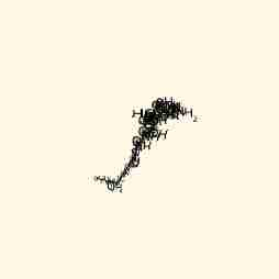 CCCCCC[C@@H](O)C/C=C\CCCCCCCC(=O)SCCNC(=O)CCNC(=O)[C@H](O)C(C)(C)COP(=O)(O)OP(=O)(O)OC[C@H]1O[C@@H](n2cnc3c(N)ncnc32)[C@H](O)[C@@H]1OP(=O)(O)O